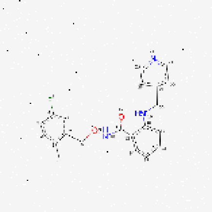 Cc1ccc(F)cc1CONC(=O)c1ccccc1NCc1ccncc1